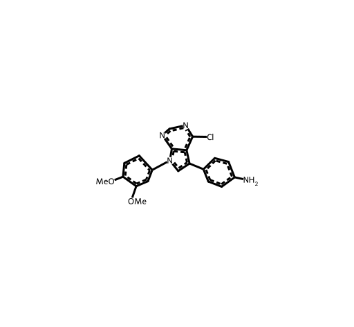 COc1ccc(-n2cc(-c3ccc(N)cc3)c3c(Cl)ncnc32)cc1OC